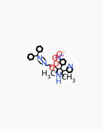 CC1=C(C(=O)OCCN2CCN(C(c3ccccc3)c3ccccc3)CC2)C(c2cccc([N+](=O)[O-])c2)C(c2cccnc2)=C(C)N1